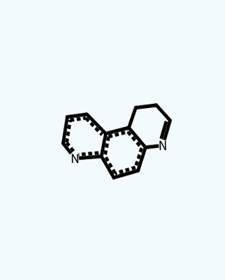 C1=Nc2ccc3ncccc3c2CC1